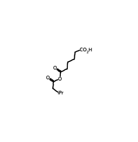 CC(C)CC(=O)OC(=O)CCCCC(=O)O